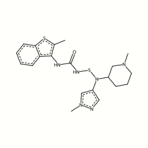 Cc1sc2ccccc2c1NC(=O)NSN(c1cnn(C)c1)C1CCCN(C)C1